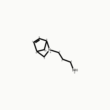 [NH]CCCN1CC2C=CC1C2